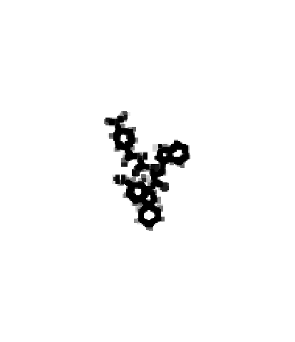 C[C@@](Cc1c[nH]c2ccccc12)(NC(=O)NC(=O)c1ccc([N+](=O)[O-])cc1)C(=O)NCC1(c2ccc(N)cc2)CCCCC1